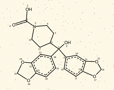 O=C(O)N1CCC(C(O)(c2ccc3c(c2)OCO3)c2ccc3c(c2)OCO3)CC1